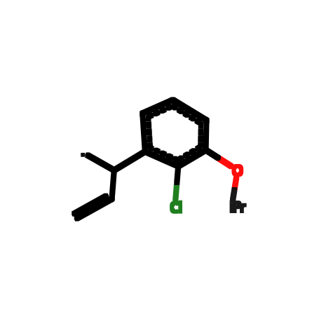 [CH2]C(C=C)c1cccc(OC(C)C)c1Cl